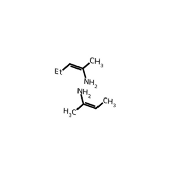 CC=C(C)N.CCC=C(C)N